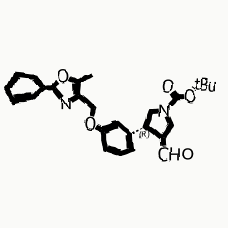 Cc1oc(-c2ccccc2)nc1COc1cccc([C@@H]2CN(C(=O)OC(C)(C)C)CC2C=O)c1